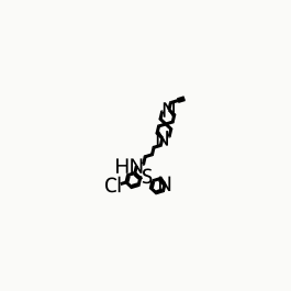 C#CCN1CCC2(CC1)CCN(CCCCCNc1cc(Cl)ccc1Sc1cccnc1)CC2